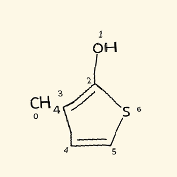 C.Oc1cccs1